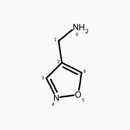 NCc1cnoc1